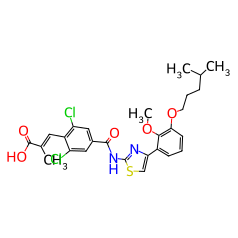 COc1c(OCCCC(C)C)cccc1-c1csc(NC(=O)c2cc(Cl)c(C=C(C)C(=O)O)c(Cl)c2)n1